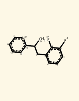 CC(Cc1cccc(F)c1F)c1ccccn1